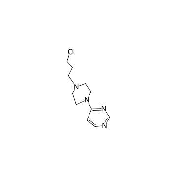 ClCCCN1CCN(c2ccncn2)CC1